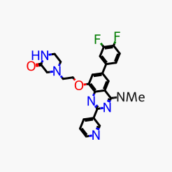 CNc1nc(-c2cccnc2)nc2c(OCCN3CCNC(=O)C3)cc(-c3ccc(F)c(F)c3)cc12